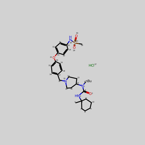 CCCCN(C(=O)NC1(C)CCCCC1)C1CCN(Cc2ccc(Oc3ccc(NS(C)(=O)=O)cc3)cc2)CC1.Cl